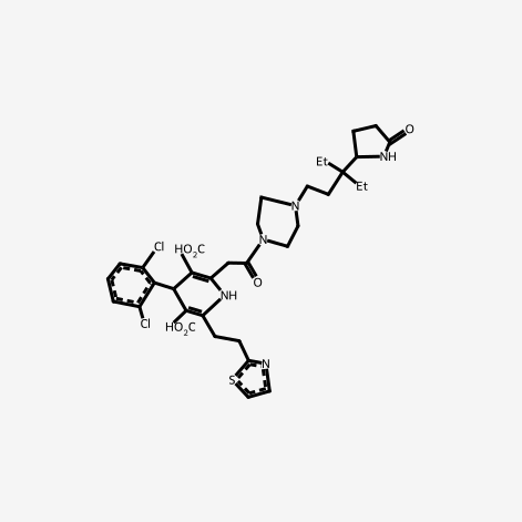 CCC(CC)(CCN1CCN(C(=O)CC2=C(C(=O)O)C(c3c(Cl)cccc3Cl)C(C(=O)O)=C(CCc3nccs3)N2)CC1)C1CCC(=O)N1